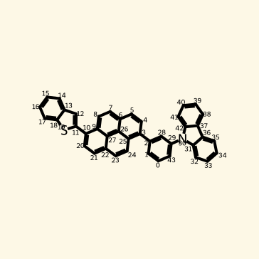 c1cc(-c2ccc3ccc4c(-c5cc6ccccc6s5)ccc5ccc2c3c54)cc(-n2c3ccccc3c3ccccc32)c1